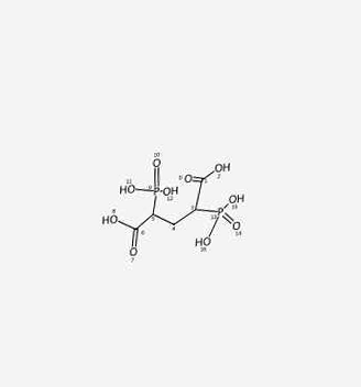 O=C(O)C(CC(C(=O)O)P(=O)(O)O)P(=O)(O)O